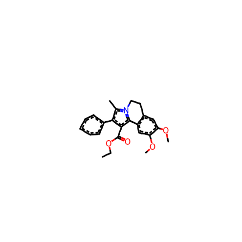 CCOC(=O)c1c(-c2ccccc2)c(C)n2c1-c1cc(OC)c(OC)cc1CC2